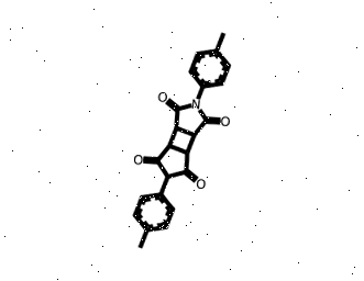 Cc1ccc(C2C(=O)C3C(C2=O)C2C(=O)N(c4ccc(C)cc4)C(=O)C32)cc1